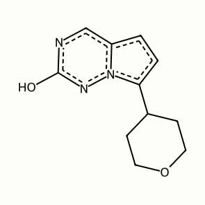 Oc1ncc2ccc(C3CCOCC3)n2n1